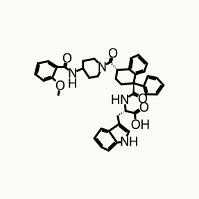 COc1ccccc1C(=O)NC1CCN(C(=O)[C@H]2CC[C@@](C(=O)N[C@@H](Cc3c[nH]c4ccccc34)C(=O)O)(c3ccccc3)c3ccccc32)CC1